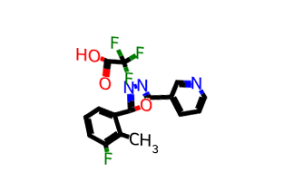 Cc1c(F)cccc1-c1nnc(-c2cccnc2)o1.O=C(O)C(F)(F)F